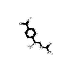 C[C@H](CNC(=O)C(F)(F)F)c1ccc(C(=O)Cl)cc1